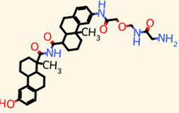 CC1(C(=O)NC(=O)C2CCCC3(C)c4cc(NC(=O)COCNC(=O)CN)ccc4CCC23)CCCC2c3cc(O)ccc3CCC21